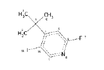 CC(C)(C)c1cc(F)ncc1I